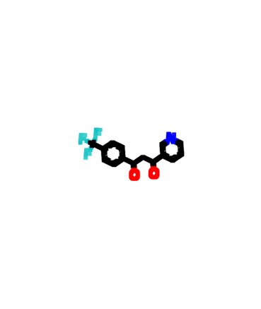 O=C(CC(=O)c1cccnc1)c1ccc(C(F)(F)F)cc1